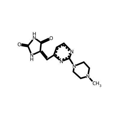 CN1CCN(c2nccc(C=C3NC(=O)NC3=O)n2)CC1